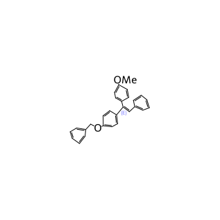 COc1ccc(/C(=C\c2ccccc2)c2ccc(OCc3ccccc3)cc2)cc1